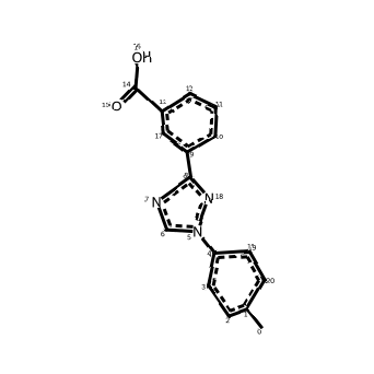 Cc1ccc(-n2cnc(-c3cccc(C(=O)O)c3)n2)cc1